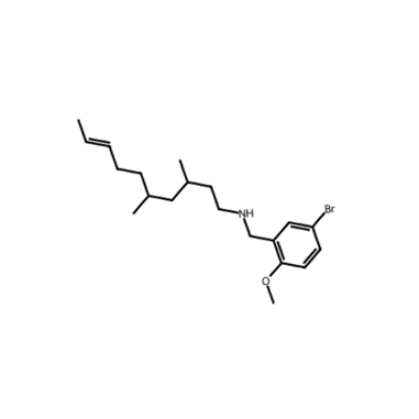 CC=CCCC(C)CC(C)CCNCc1cc(Br)ccc1OC